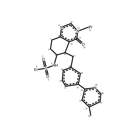 CCS(=O)(=O)NC1CCc2ncn(C(C)C)c(=O)c2C1Cc1cccc(-c2cc(C)ccn2)c1